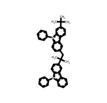 CC(C)(C)c1ccc2c3cc(CC(C)(C)c4ccc5c(c4)c4ccccc4n5-c4ccccc4)ccc3n(-c3ccccc3)c2c1